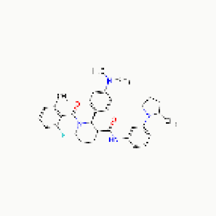 Cc1cccc(F)c1C(=O)N1CCC[C@H](C(=O)Nc2cccc(N3CCCC3C)c2)[C@@H]1c1ccc(N(C)C)cc1